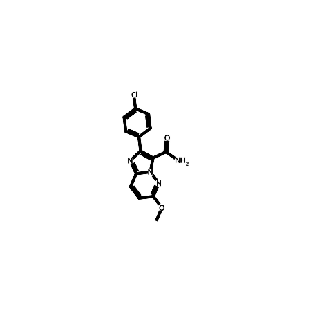 COc1ccc2nc(-c3ccc(Cl)cc3)c(C(N)=O)n2n1